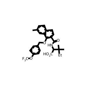 CCC(C)(C)C(NC(=O)c1ccc2ccc(C)cc2c1OCc1ccc(OC(F)(F)F)cc1)C(=O)O